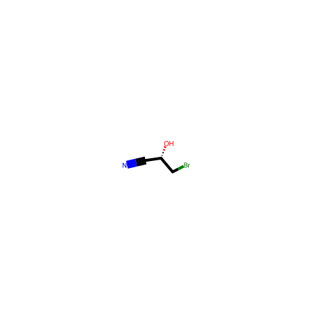 N#C[C@H](O)CBr